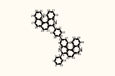 c1ccc(-c2nc3cc(-c4ccc(-c5nc6ccccc6c6c5ccc5ccc7cccnc7c56)cc4)ccc3c3c2ccc2cnc4ccccc4c23)cc1